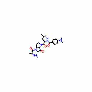 CC(C)CC(NC(=O)c1ccc(N(C)C)cc1)C(=O)N1CCC2C1C(=O)CN2C(=O)C(C)N